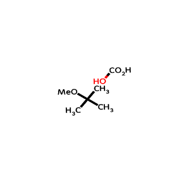 COC(C)(C)C.O=C(O)O